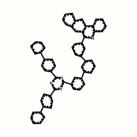 c1ccc(-c2ccc(-c3nc(-c4ccc(-c5ccccc5)cc4)nc(-c4cccc(-c5cccc(-c6cccc(-c7nc8ccccc8c8cc9ccccc9cc78)c6)c5)c4)n3)cc2)cc1